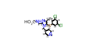 CC(C)c1nc(CNC(=O)O)n(Cc2ccncc2)c1Sc1cc(Cl)cc(Cl)c1